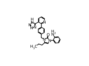 CCCc1cn(-c2ccccc2N)c(=O)n1Cc1ccc(-c2ncccc2-c2nnn[nH]2)cc1